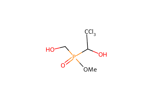 COP(=O)(CO)C(O)C(Cl)(Cl)Cl